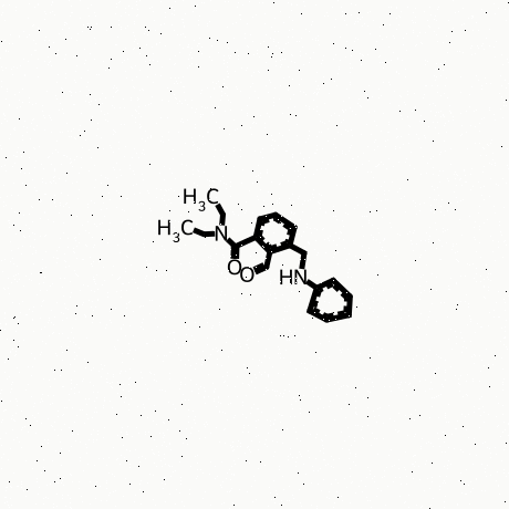 CCN(CC)C(=O)c1cccc(CNc2ccccc2)c1C=O